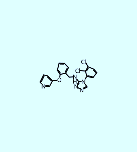 Clc1cccc(-n2cnnc2NCc2ccccc2Oc2cccnc2)c1Cl